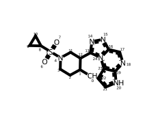 CC1CCN(S(=O)(=O)C2CC2)CC1c1nnc2cnc3[nH]ccc3n12